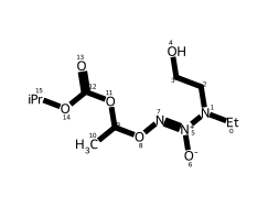 CCN(CCO)[N+]([O-])=NOC(C)OC(=O)OC(C)C